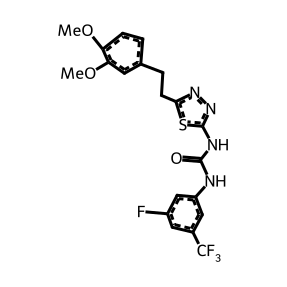 COc1ccc(CCc2nnc(NC(=O)Nc3cc(F)cc(C(F)(F)F)c3)s2)cc1OC